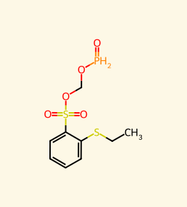 CCSc1ccccc1S(=O)(=O)OCO[PH2]=O